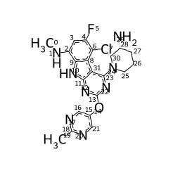 CNc1cc(F)c(Cl)c2c1[nH]c1nc(Oc3cnc(C)nc3)nc(N3CCC[C@@H](N)C3)c12